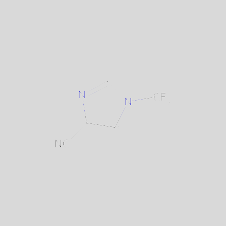 N#CC1[C]N(C(F)(F)F)[C]=N1